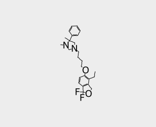 CCc1c(OCCCCN2CN(C)C(C)(c3ccccc3)C2)ccc2c1COC2(F)F